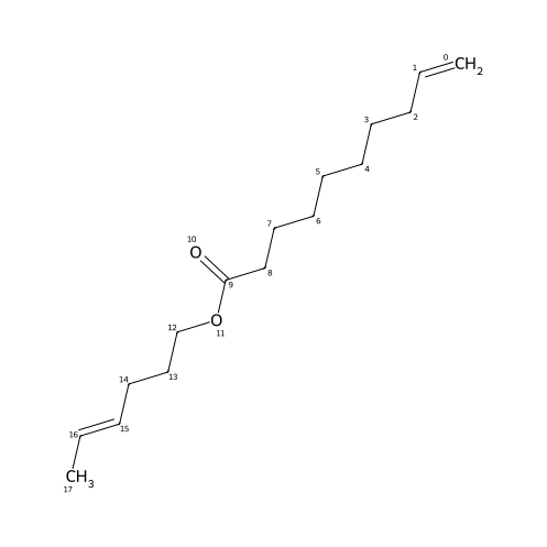 C=CCCCCCCCC(=O)OCCC/C=C/C